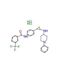 Cl.Cl.O=C(Nc1ccc(C2CC2NC2CCN(c3ccccc3)CC2)cc1)c1cccc(C(F)(F)F)c1